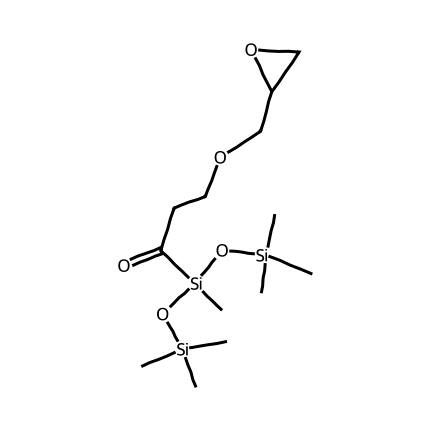 C[Si](C)(C)O[Si](C)(O[Si](C)(C)C)C(=O)CCOCC1CO1